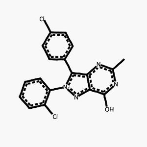 Cc1nc(O)c2nn(-c3ccccc3Cl)c(-c3ccc(Cl)cc3)c2n1